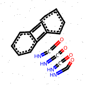 N=C=O.N=C=O.N=C=O.N=C=O.c1ccc2c(c1)=c1ccccc1=2